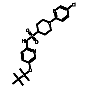 CC(C)(C)[Si](C)(C)Oc1ccc(NS(=O)(=O)C2CCN(c3ccc(Cl)cn3)CC2)nc1